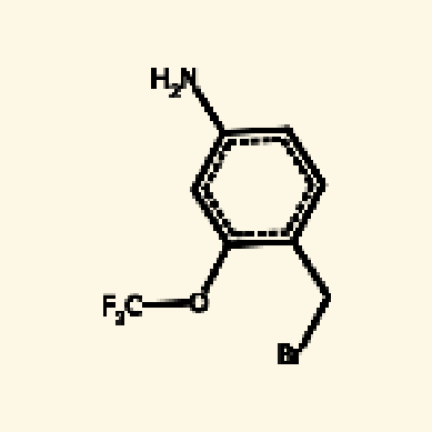 Nc1ccc(CBr)c(OC(F)(F)F)c1